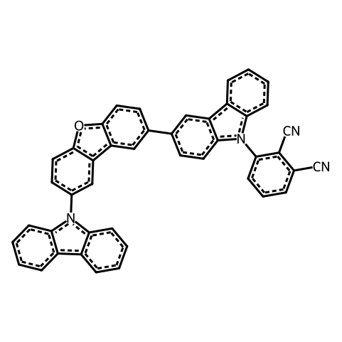 N#Cc1cccc(-n2c3ccccc3c3cc(-c4ccc5oc6ccc(-n7c8ccccc8c8ccccc87)cc6c5c4)ccc32)c1C#N